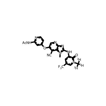 [2H]C([2H])([2H])n1cc(C(F)(F)F)cc(Nc2nc3ncc(Oc4ccnc(NC(C)=O)c4)c(C#N)c3n2C)c1=O